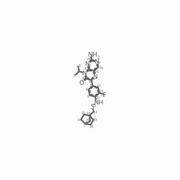 CC(C)n1c(=O)c(-c2ccc(NSCC34CCC(CC3)C4)c(F)c2)nc2cnc(N)nc21